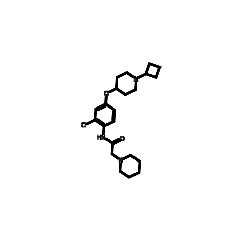 O=C(CN1CCCCC1)Nc1ccc(OC2CCN(C3CCC3)CC2)cc1Cl